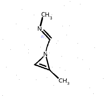 C/N=C/N1C=C1C